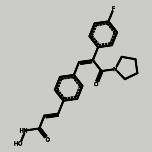 O=C(C=Cc1ccc(C=C(C(=O)N2CCCC2)c2ccc(F)cc2)cc1)NO